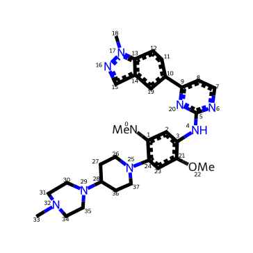 CNc1cc(Nc2nccc(-c3ccc4c(cnn4C)c3)n2)c(OC)cc1N1CCC(N2CCN(C)CC2)CC1